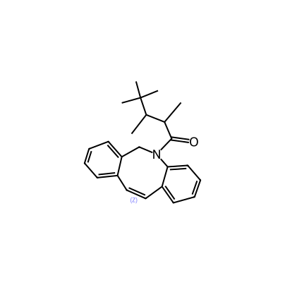 CC(C(=O)N1Cc2ccccc2/C=C\c2ccccc21)C(C)C(C)(C)C